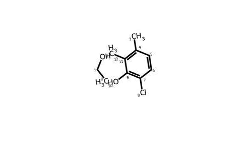 CCO.Cc1ccc(Cl)c(O)c1C